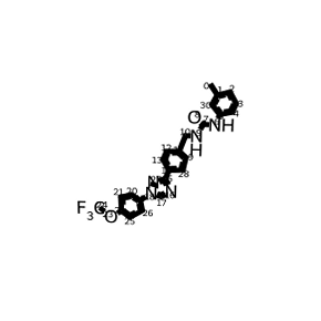 Cc1cccc(NC(=O)NCc2ccc(-c3ncn(-c4ccc(OC(F)(F)F)cc4)n3)cc2)c1